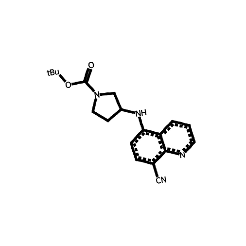 CC(C)(C)OC(=O)N1CCC(Nc2ccc(C#N)c3ncccc23)C1